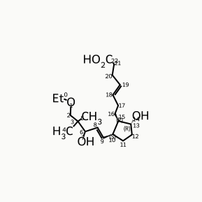 CCOCC(C)(C)C(O)C=C[C@@H]1CC[C@@H](O)[C@@H]1CCC=CCCC(=O)O